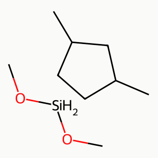 CC1CCC(C)C1.CO[SiH2]OC